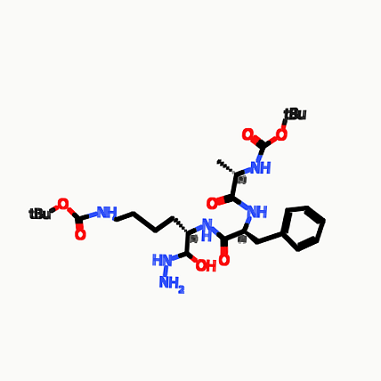 C[C@H](NC(=O)OC(C)(C)C)C(=O)N[C@@H](Cc1ccccc1)C(=O)N[C@@H](CCCCNC(=O)OC(C)(C)C)C(O)NN